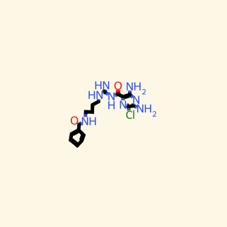 N=C(NCCCCNC(=O)c1ccccc1)NC(=O)c1nc(Cl)c(N)nc1N